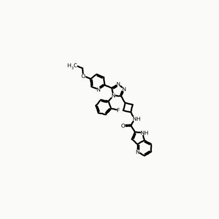 CCOc1ccc(-c2nnc(C3CC(NC(=O)c4cc5ncccc5[nH]4)C3)n2-c2ccccc2F)nc1